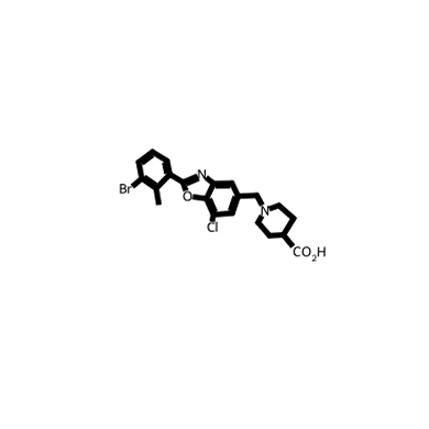 Cc1c(Br)cccc1-c1nc2cc(CN3CCC(C(=O)O)CC3)cc(Cl)c2o1